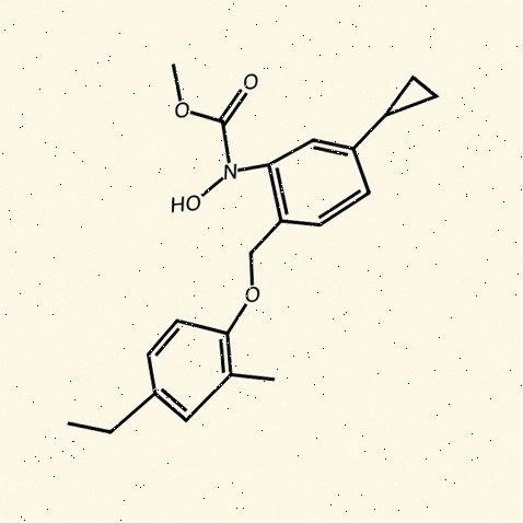 CCc1ccc(OCc2ccc(C3CC3)cc2N(O)C(=O)OC)c(C)c1